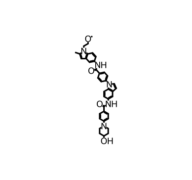 COCCn1c(C)cc2cc(NC(=O)c3ccc(-n4ccc5cc(NC(=O)c6ccc(N7CCC(O)CC7)cc6)ccc54)cc3)ccc21